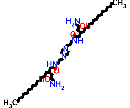 CCCCCCCCC=CCCCCCC(CC(=O)NCCCN1CCN(CCCNC(=O)CC(CCCCCC=CCCCCCCCC)CC(O)CN)CC1)CC(O)CN